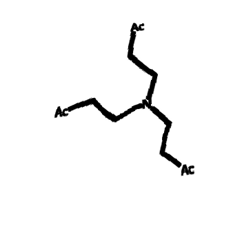 CC(=O)CCN(CCC(C)=O)CCC(C)=O